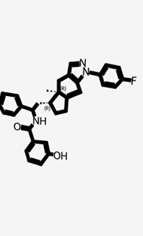 C[C@]12Cc3cnn(-c4ccc(F)cc4)c3C=C1CC[C@@H]2CC(NC(=O)c1cccc(O)c1)c1ccccc1